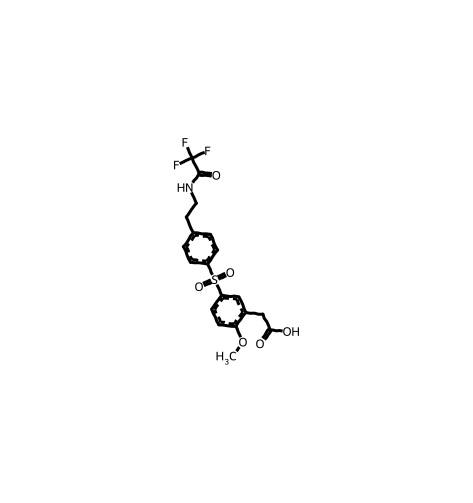 COc1ccc(S(=O)(=O)c2ccc(CCNC(=O)C(F)(F)F)cc2)cc1CC(=O)O